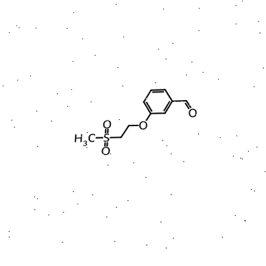 CS(=O)(=O)CCOc1cccc(C=O)c1